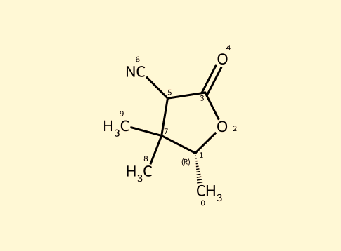 C[C@H]1OC(=O)C(C#N)C1(C)C